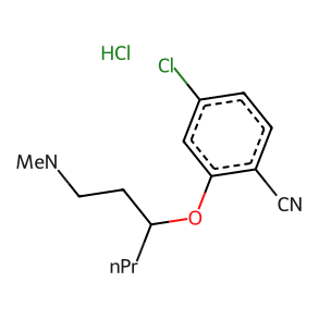 CCCC(CCNC)Oc1cc(Cl)ccc1C#N.Cl